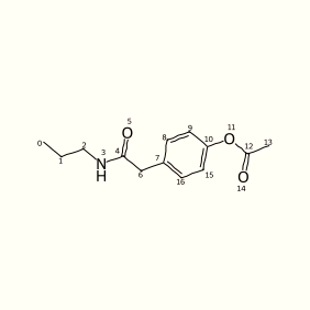 CCCNC(=O)Cc1ccc(OC(C)=O)cc1